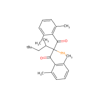 Cc1cccc(C)c1C(=O)C(P)(C(=O)c1c(C)cccc1C)C(C)CC(C)(C)C